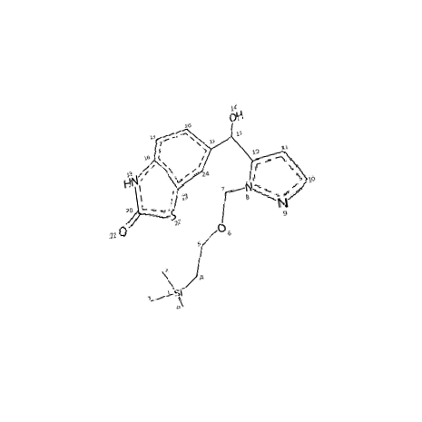 C[Si](C)(C)CCOCn1nccc1C(O)c1ccc2[nH]c(=O)sc2c1